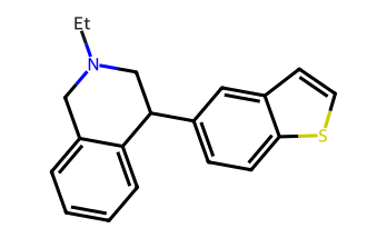 CCN1Cc2ccccc2C(c2ccc3sccc3c2)C1